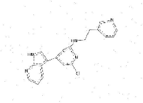 Clc1cc(-c2c[nH]c3ncccc23)cc(NCCc2cccnc2)n1